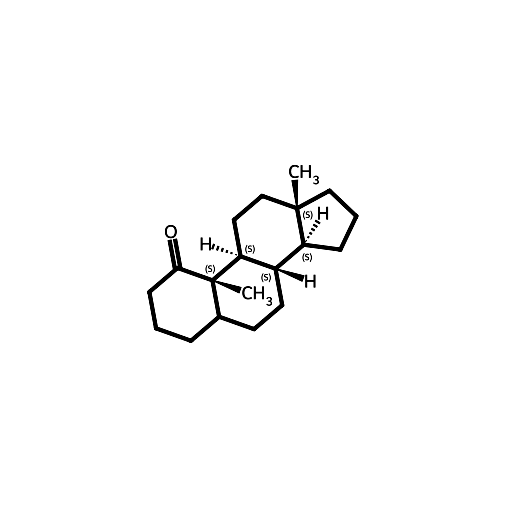 C[C@@]12CCC[C@H]1[C@@H]1CCC3CCCC(=O)[C@]3(C)[C@H]1CC2